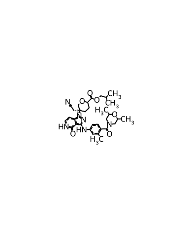 Cc1cc(Nc2nn([C@]3(CC#N)CCC(C(=O)OCC(C)C)OC3)c3cc[nH]c(=O)c23)ccc1C(=O)N1CC(C)OC(C)C1